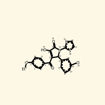 CCOc1ccc(C(=O)C2=C(O)C(=O)N(c3nccs3)C2c2cccc(Cl)c2)cc1